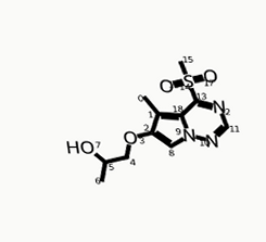 Cc1c(OCC(C)O)cn2ncnc(S(C)(=O)=O)c12